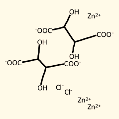 O=C([O-])C(O)C(O)C(=O)[O-].O=C([O-])C(O)C(O)C(=O)[O-].[Cl-].[Cl-].[Zn+2].[Zn+2].[Zn+2]